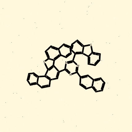 c1ccc2cc(-c3nc(-c4cccc5sc6ccccc6c45)nc(-c4cc5ccc6ccccc6c5c5sc6ccc7ccccc7c6c45)n3)ccc2c1